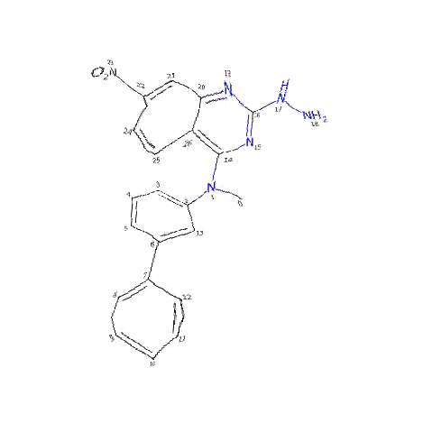 CN(c1cccc(-c2ccccc2)c1)c1nc(NN)nc2cc([N+](=O)[O-])ccc12